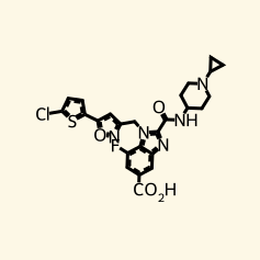 O=C(O)c1cc(F)c2c(c1)nc(C(=O)NC1CCN(C3CC3)CC1)n2Cc1cc(-c2ccc(Cl)s2)on1